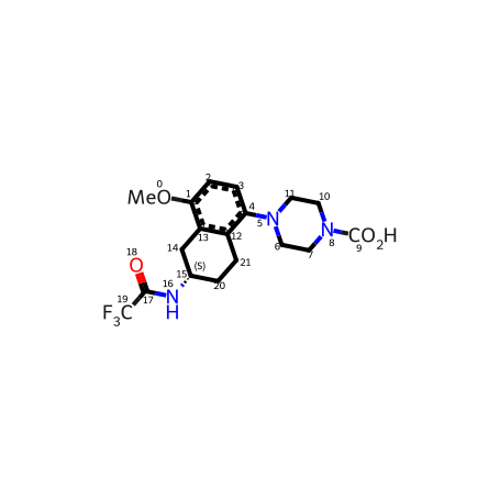 COc1ccc(N2CCN(C(=O)O)CC2)c2c1C[C@@H](NC(=O)C(F)(F)F)CC2